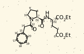 CCOC(=O)CC[C@H](NC(=O)[C@@H]1CCCN1C(=O)Cc1ccccc1)C(=O)OCC